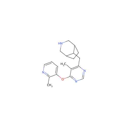 Cc1ncccc1Oc1ncnc(CC2C3CCC2CNC3)c1C